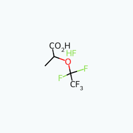 CC(OC(F)(F)C(F)(F)F)C(=O)O.F